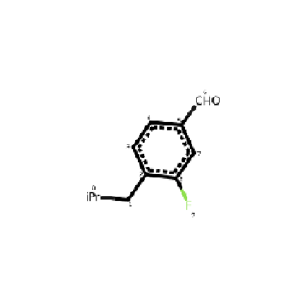 CC(C)Cc1ccc(C=O)cc1F